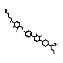 C=CCCCOc1ccc(COc2ccc(-c3ccc(C4CCC(C(O)CCC)CC4)c(F)c3F)cc2)c(F)c1F